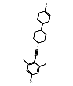 CCc1cc(F)c(C#C[C@H]2CC[C@H](C3CC=C(F)CC3)CC2)c(F)c1